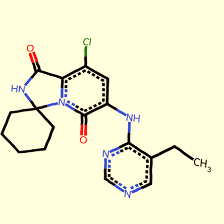 CCc1cncnc1Nc1cc(Cl)c2n(c1=O)C1(CCCCC1)NC2=O